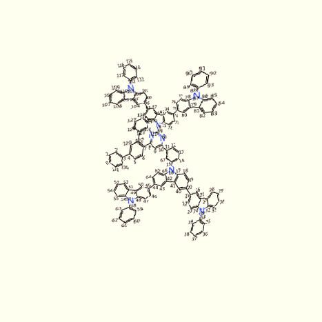 c1ccc(-c2ccc(-c3cc(-c4cccc(-n5c6ccc(-c7ccc8c(c7)c7ccccc7n8-c7ccccc7)cc6c6cc(-c7ccc8c(c7)c7ccccc7n8-c7ccccc7)ccc65)c4)nc(-n4c5ccc(-c6ccc7c(c6)c6ccccc6n7-c6ccccc6)cc5c5cc(-c6ccc7c(c6)c6ccccc6n7-c6ccccc6)ccc54)n3)c(-c3ccccc3)c2)cc1